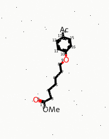 COC(=O)CCCCCCOc1ccc(C(C)=O)cc1